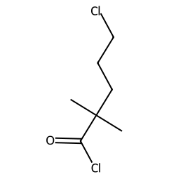 CC(C)(CCCCl)C(=O)Cl